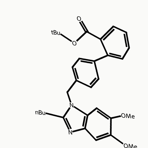 CCCCc1nc2cc(OC)c(OC)cc2n1Cc1ccc(-c2ccccc2C(=O)OC(C)(C)C)cc1